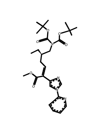 CC[C@H](C/C=C(\C(=O)OC)c1cn(-c2ccccn2)cn1)CN(C(=O)OC(C)(C)C)C(=O)OC(C)(C)C